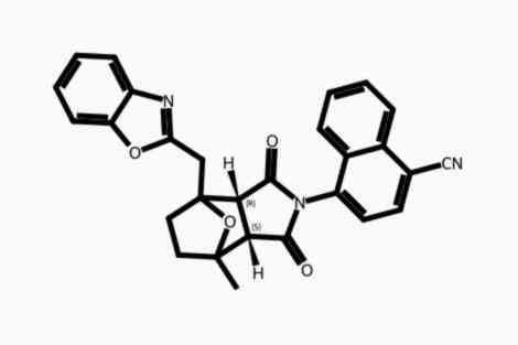 CC12CCC(Cc3nc4ccccc4o3)(O1)[C@@H]1C(=O)N(c3ccc(C#N)c4ccccc34)C(=O)[C@@H]12